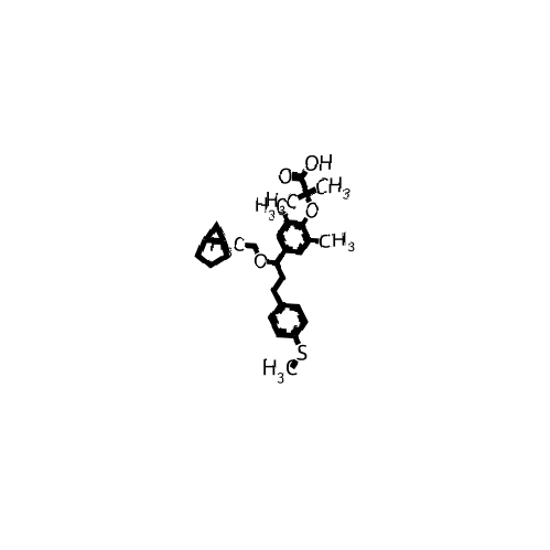 C1CC2CC2C1.CCOC(CCc1ccc(SC)cc1)c1cc(C)c(OC(C)(C)C(=O)O)c(C)c1